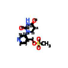 CS(=O)(=O)OCc1ccncc1N1CCC(=O)NC1=O